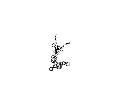 CCCCCCCC(=O)OCC(COC(=O)CCCCCCC)OC(=O)CCC(=O)Oc1nccn1CC(OCc1ccc(Cl)cc1Cl)c1ccc(Cl)cc1Cl